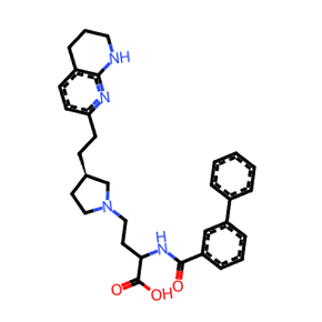 O=C(NC(CCN1CC[C@@H](CCc2ccc3c(n2)NCCC3)C1)C(=O)O)c1cccc(-c2ccccc2)c1